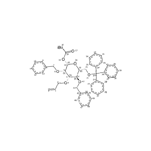 C=CCO[C@@H]1[C@H](OCc2ccccc2)[C@H](OC(=O)C(C)CC)O[C@H](COC(c2ccccc2)(c2ccccc2)c2ccccc2)[C@H]1OCc1ccccc1